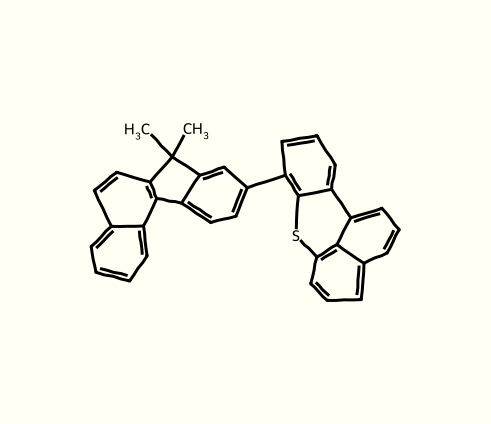 CC1(C)c2cc(-c3cccc4c3Sc3cccc5cccc-4c35)ccc2-c2c1ccc1ccccc21